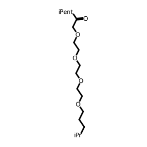 CCCC(C)C(=O)COCCOCCOCCOCCCC(C)C